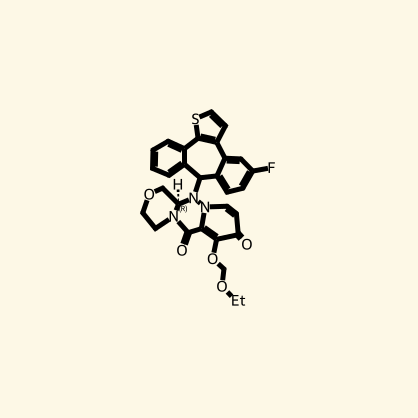 CCOCOc1c2n(ccc1=O)N(C1c3ccc(F)cc3-c3ccsc3-c3ccccc31)[C@@H]1COCCN1C2=O